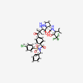 CC(C)C(NC(=O)[C@@]1(C(=O)[C@@H](N)C(C)(C)C(=O)c2ccc(C(=O)N(Cc3ccccc3)S(=O)(=O)c3ccc(Br)cc3)cc2)CCCN1)C(O)C(F)(F)F